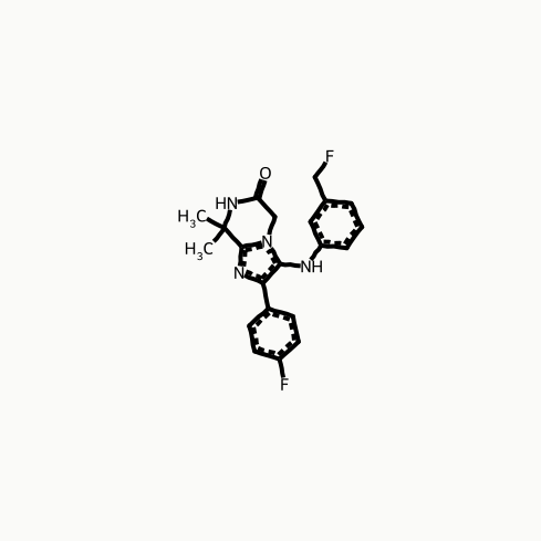 CC1(C)NC(=O)Cn2c1nc(-c1ccc(F)cc1)c2Nc1cccc(CF)c1